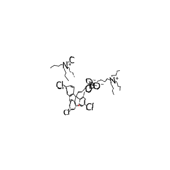 CCCC[N+](CCCC)(CCCC)CCCC.CCCC[N+](CCCC)(CCCC)CCCC.Cc1cc(Cl)ccc1C(CCCOB([O-])[O-])(c1ccc(Cl)cc1C)c1ccc(Cl)cc1C